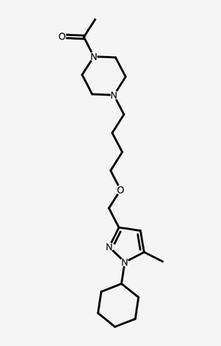 CC(=O)N1CCN(CCCCOCc2cc(C)n(C3CCCCC3)n2)CC1